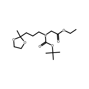 CCOC(=O)CN(CCCC1(C)OCCO1)C(=O)OC(C)(C)C